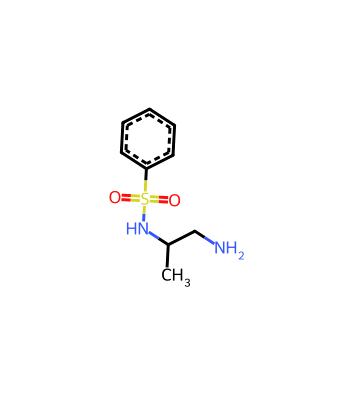 CC(CN)NS(=O)(=O)c1ccccc1